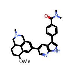 COC1CCC2CN(C)Cc3cc(-c4cnc5[nH]cc(-c6ccc(C(=O)N(C)C)cc6)c5c4)cc1c32